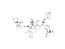 Cc1ccc(S(=O)(=O)OC=CC2=C(C(=O)O)N3C(=O)C(NC(=O)C(=NOCC(=O)OC(C)(C)C)c4csc(NC=O)n4)[C@@H]3[S+]([O-])C2)cc1